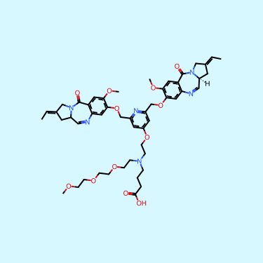 C/C=C1\CC2C=Nc3cc(OCc4cc(OCCN(CCCC(=O)O)CCOCCOCCOC)cc(COc5cc6c(cc5OC)C(=O)N5C/C(=C/C)C[C@H]5C=N6)n4)c(OC)cc3C(=O)N2C1